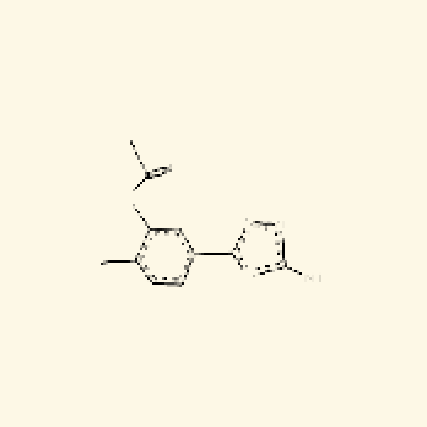 CC(=O)Oc1cc(-c2nnc(N)s2)ccc1C